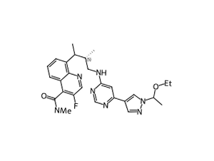 CCOC(C)n1cc(-c2cc(NC[C@@H](C)C(C)c3cccc4c(C(=O)NC)c(F)cnc34)ncn2)cn1